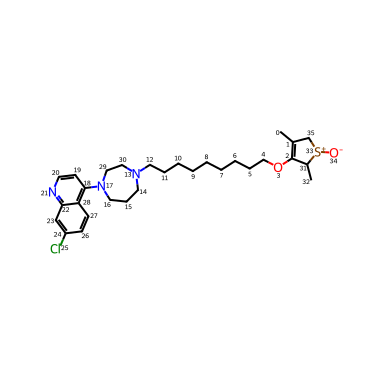 CC1=C(OCCCCCCCCCN2CCCN(c3ccnc4cc(Cl)ccc34)CC2)C(C)[S+]([O-])C1